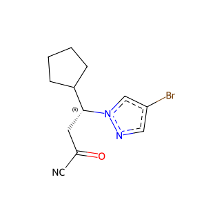 N#CC(=O)C[C@H](C1CCCC1)n1cc(Br)cn1